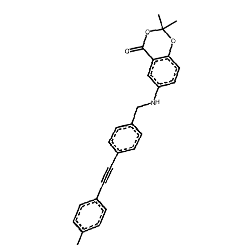 CCCc1ccc(C#Cc2ccc(CNc3ccc4c(c3)C(=O)OC(C)(C)O4)cc2)cc1